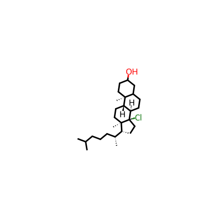 CC(C)CCC[C@@H](C)[C@H]1CC[C@@]2(Cl)[C@@H]3CCC4CC(O)CC[C@]4(C)[C@H]3CC[C@]12C